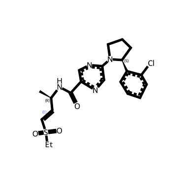 CCS(=O)(=O)/C=C/[C@@H](C)NC(=O)c1cnc(N2CCC[C@H]2c2ccccc2Cl)cn1